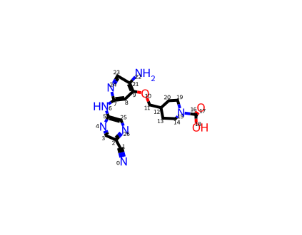 N#Cc1cnc(Nc2cc(OCC3CCN(C(=O)O)CC3)c(N)cn2)cn1